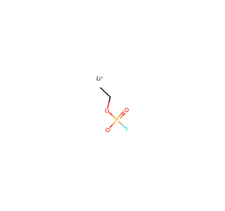 CCOP(=O)([O-])F.[Li+]